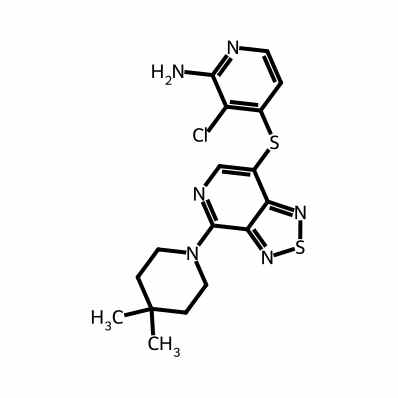 CC1(C)CCN(c2ncc(Sc3ccnc(N)c3Cl)c3nsnc23)CC1